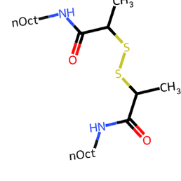 CCCCCCCCNC(=O)C(C)SSC(C)C(=O)NCCCCCCCC